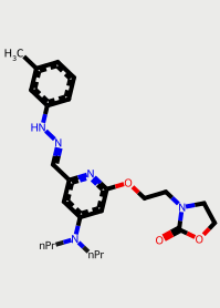 CCCN(CCC)c1cc(/C=N/Nc2cccc(C)c2)nc(OCCN2CCOC2=O)c1